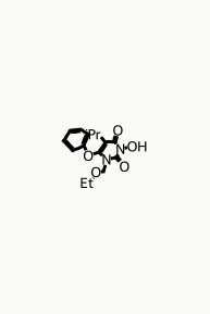 CCOCn1c(Oc2ccccc2)c(C(C)C)c(=O)n(O)c1=O